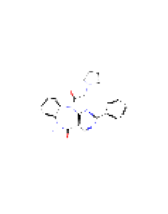 CN1C(=O)c2cnc(-c3ccccc3)nc2N(C(=O)CN2CCCC2)c2ccccc21